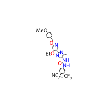 CCOc1cc(OCc2ccc(OC)cc2)ncc1-c1ncc(NC(=O)Nc2ccc(C(C)(C)C#N)c(C(F)(F)F)c2)c(C)n1